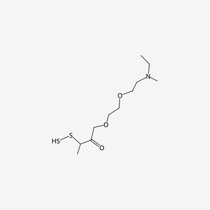 CCN(C)CCOCCOCC(=O)C(C)SS